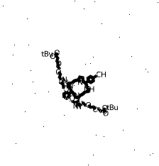 C#Cc1ccc(-c2c3nc(cc4ccc([nH]4)c(-c4c(OCc5cn(CCOCCOCCC(=O)OC(C)(C)C)nn5)cccc4OCc4cn(CCOCCOCCC(=O)OC(C)(C)C)nn4)c4nc(cc5ccc2[nH]5)C=C4)C=C3)cc1